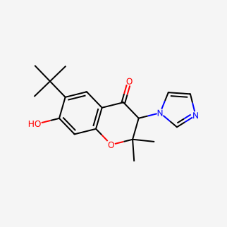 CC(C)(C)c1cc2c(cc1O)OC(C)(C)C(n1ccnc1)C2=O